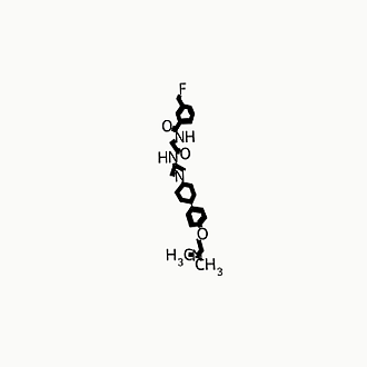 CN(C)CCOc1ccc([C@H]2CC[C@@H](N3CC(NC(=O)CNC(=O)c4cccc(CF)c4)C3)CC2)cc1